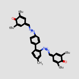 Cc1ccc(-c2ccc(/N=N/C=C3C=C(C(C)(C)C)C(=O)C(C(C)(C)C)=C3)cc2)c(/N=N\C=C2C=C(C(C)(C)C)C(=O)C(C(C)(C)C)=C2)c1